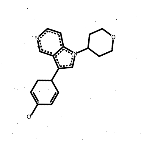 ClC1=CCC(c2cn(C3CCOCC3)c3ccncc23)C=C1